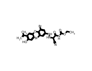 C=C(C)c1cc(Oc2c(Br)cc(NNC(C#N)C(=O)NC(=O)OCC)cc2Br)ccc1O